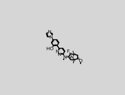 CO[C@@H]1C[C@@]2(C)[C@@H](F)[C@H](N(C)c3ccc(-c4ccc(-n5ccnc5)cc4O)nn3)C[C@]1(C)N2C